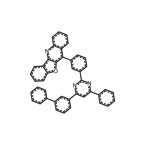 c1ccc(-c2cccc(-c3cc(-c4ccccc4)nc(-c4cccc(-c5c6ccccc6nc6c5oc5ccccc56)c4)n3)c2)cc1